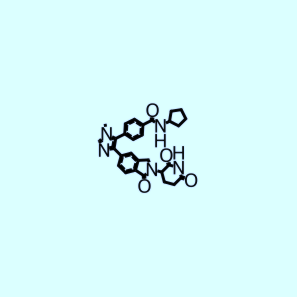 Cn1cnc(-c2ccc3c(c2)CN(C2CCC(=O)NC2=O)C3=O)c1-c1ccc(C(=O)NC2CCCC2)cc1